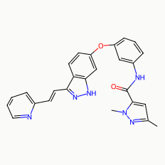 Cc1cc(C(=O)Nc2cccc(Oc3ccc4c(/C=C/c5ccccn5)n[nH]c4c3)c2)n(C)n1